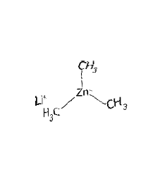 [CH3][Zn-]([CH3])[CH3].[Li+]